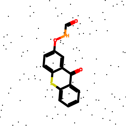 O=CPOc1ccc2sc3ccccc3c(=O)c2c1